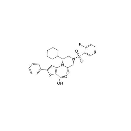 O=C(O)c1sc(-c2ccccc2)cc1N1C(=O)CN(S(=O)(=O)c2ccccc2F)CC1C1CCCCC1